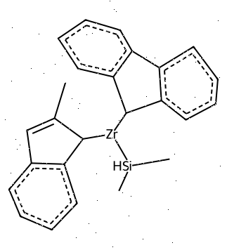 CC1=Cc2ccccc2[CH]1[Zr]([CH]1c2ccccc2-c2ccccc21)[SiH](C)C